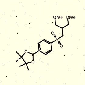 COCC(COC)CS(=O)(=O)c1ccc(B2OC(C)(C)C(C)(C)O2)cc1